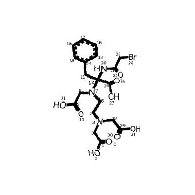 O=C(O)CN(CCN(CC(=O)O)C(Cc1ccccc1)(NC(=O)CBr)C(=O)O)CC(=O)O